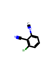 [C-]#[N+]c1cccc(Br)c1C#N